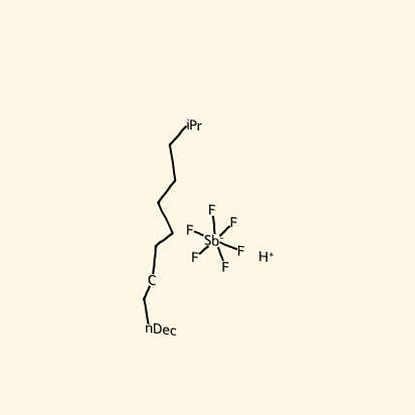 CCCCCCCCCCCCCCCCCC(C)C.[F][Sb-]([F])([F])([F])([F])[F].[H+]